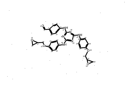 O=Cc1ccc(Nc2nc(Nc3ccc(OCC4CO4)cc3)nc(Nc3ccc(OCC4CO4)cc3)n2)cc1